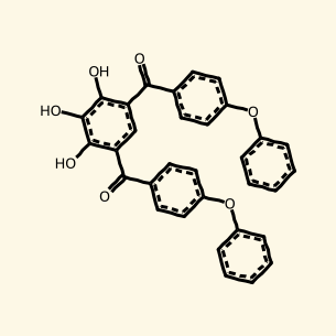 O=C(c1ccc(Oc2ccccc2)cc1)c1cc(C(=O)c2ccc(Oc3ccccc3)cc2)c(O)c(O)c1O